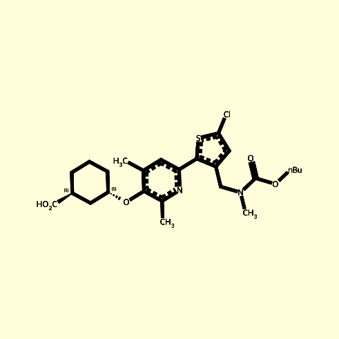 CCCCOC(=O)N(C)Cc1cc(Cl)sc1-c1cc(C)c(O[C@H]2CCC[C@H](C(=O)O)C2)c(C)n1